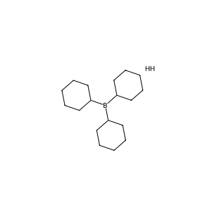 C1CCC(B(C2CCCCC2)C2CCCCC2)CC1.[HH]